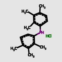 Cc1ccc(Pc2ccc(C)c(C)c2C)c(C)c1C.Cl